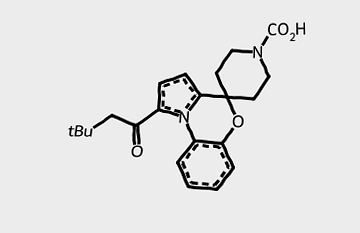 CC(C)(C)CC(=O)c1ccc2n1-c1ccccc1OC21CCN(C(=O)O)CC1